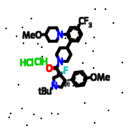 COc1ccc([C@@H]2CN(C(C)(C)C)C[C@@]2(F)C(=O)N2CCC(c3ccc(C(F)(F)F)cc3N3CCC(OC)CC3)CC2)cc1.Cl.Cl